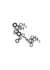 C[C@@H](Nc1ncnc2cc(OC3CCCC3)c(OCCCN3CC(=O)OC(C)(C)C3)cc12)c1ccccc1